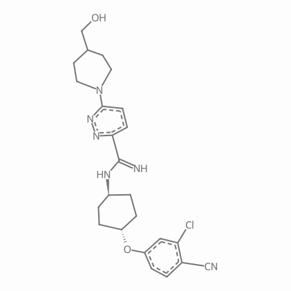 N#Cc1ccc(O[C@H]2CC[C@H](NC(=N)c3ccc(N4CCC(CO)CC4)nn3)CC2)cc1Cl